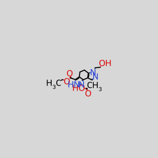 CC(=O)O.CCOC(=O)c1[nH]nc2c1CCc1c-2cnn1CCO